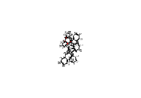 c1ccc(-c2ccc3c(c2)Oc2ccccc2C32c3ccccc3-c3cccc(N(c4ccc5ccccc5c4)c4ccccc4-c4ccccc4)c32)cc1